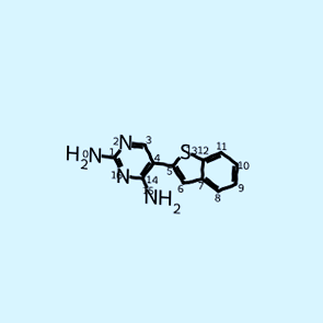 Nc1ncc(-c2cc3ccccc3s2)c(N)n1